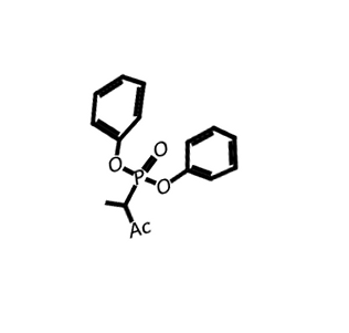 CC(=O)C(C)P(=O)(Oc1ccccc1)Oc1ccccc1